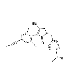 CC#Cc1cc(C)c(C2=C(O)CC(Cc3ccc(C(C)=O)cn3)C2=O)c(C)c1